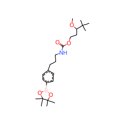 COC(CCOC(=O)NCCCc1ccc(B2OC(C)(C)C(C)(C)O2)cc1)C(C)(C)C